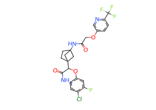 NC(=O)C(Oc1ccc(Cl)c(F)c1)C12CCC(NC(=O)COc3ccc(C(F)(F)F)nc3)(C1)C2